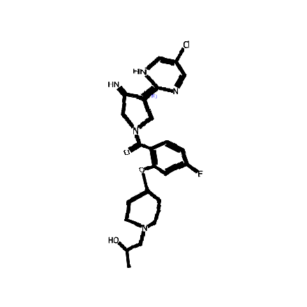 CC(O)CN1CCC(Oc2cc(F)ccc2C(=O)N2CC(=N)/C(=C3/N=CC(Cl)=CN3)C2)CC1